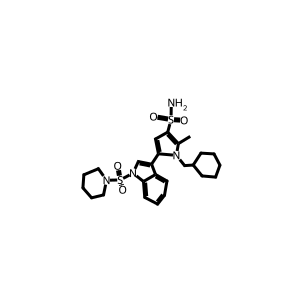 Cc1c(S(N)(=O)=O)cc(-c2cn(S(=O)(=O)N3CCCCC3)c3ccccc23)n1CC1CCCCC1